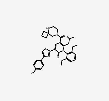 CCc1cccc(CC)c1-n1c(CC(C)C)c(C(=O)N2CCNC3(CCC3)C2)cc(-c2nc(-c3ccc(Cl)cc3)cs2)c1=O